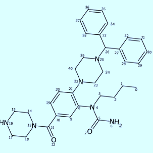 CCCCN(C(N)=O)c1cc(C(=O)N2CCNCC2)ccc1N1CCN(C(c2ccccc2)c2ccccc2)CC1